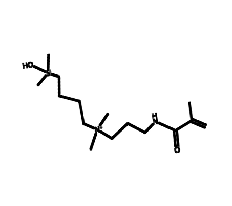 C=C(C)C(=O)NCCC[N+](C)(C)CCCC[Si](C)(C)O